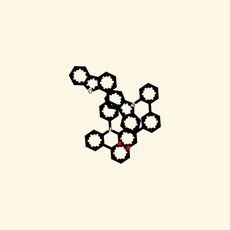 c1ccc(-c2ccccc2N(c2ccc(-c3cccc4c3oc3ccccc34)cc2)c2cccc(-c3cccc(-c4ccccc4-n4c5ccccc5c5ccccc54)c3)c2)cc1